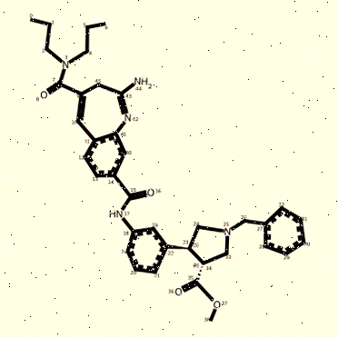 CCCN(CCC)C(=O)C1=Cc2ccc(C(=O)Nc3cccc([C@H]4CN(Cc5ccccc5)C[C@@H]4C(=O)OC)c3)cc2N=C(N)C1